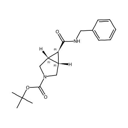 CC(C)(C)OC(=O)N1C[C@@H]2[C@H](C1)[C@H]2C(=O)NCc1ccccc1